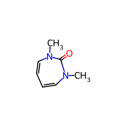 CN1C=CC=CN(C)C1=O